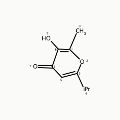 Cc1oc(C(C)C)cc(=O)c1O